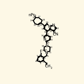 C=Cc1cccc(F)c1CN1CCN(c2ccc(-c3cc(C4=CCCC(CCC)CC4)cn4ncc(C#N)c34)cn2)CC1